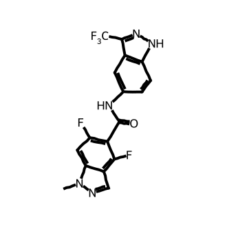 Cn1ncc2c(F)c(C(=O)Nc3ccc4[nH]nc(C(F)(F)F)c4c3)c(F)cc21